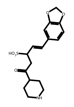 O=C(CC(C=Cc1ccc2c(c1)OCO2)S(=O)(=O)O)C1CCNCC1